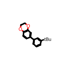 CC(C)(C)c1cccc(-c2ccc3c(c2)OCCO3)c1